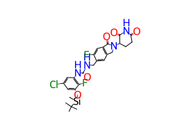 CC(C)(C)[Si](C)(C)Oc1cc(Cl)cc(NC(=O)NCc2cc3c(cc2F)C(=O)N(C2CCC(=O)NC2=O)C3)c1F